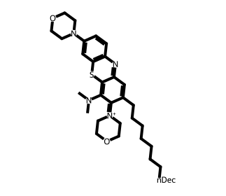 CCCCCCCCCCCCCCCCCc1cc2nc3ccc(N4CCOCC4)cc3sc-2c(N(C)C)c1=[N+]1CCOCC1